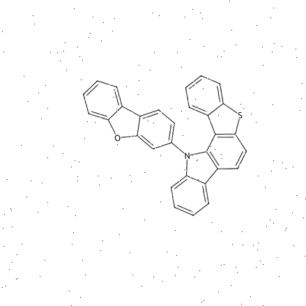 c1ccc2c(c1)oc1cc(-n3c4ccccc4c4ccc5sc6ccccc6c5c43)ccc12